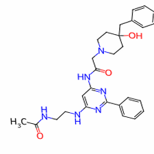 CC(=O)NCCNc1cc(NC(=O)CN2CCC(O)(Cc3ccccc3)CC2)nc(-c2ccccc2)n1